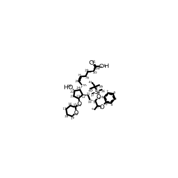 CC(Oc1ccccc1)[C@H](CC[C@H]1C(OC2CCCCO2)C[C@H](O)[C@@H]1C/C=C\CCCC(=O)O)O[Si](C)(C)C(C)(C)C